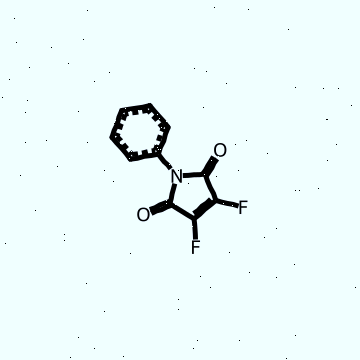 O=C1C(F)=C(F)C(=O)N1c1ccccc1